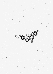 Cc1cc(Cl)ccc1NC(=O)C1=C(O)C2CS[C@@H](c3ccc([N+](=O)[O-])cc3)N2C1=O